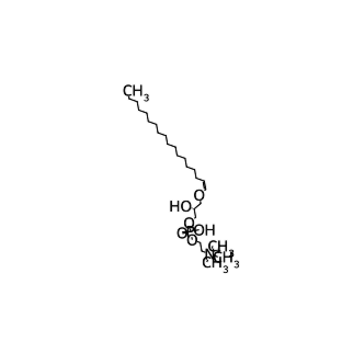 CCCCCCCCCCCCCCCC/C=C\OC[C@@H](O)COP(=O)(O)OCC[N+](C)(C)C